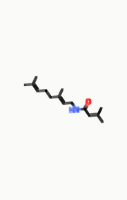 CC(C)=CCC/C(C)=C/CNC(=O)C=C(C)C